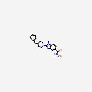 Cn1c(N2CCC(Cc3ccccc3)CC2)nc2cc(C(=O)NO)ccc21